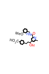 COc1cccc(CNC(=O)c2cc(C(O)CCc3ccc(C(=O)O)cc3)cc(C)n2)c1